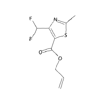 C=CCOC(=O)c1sc(C)nc1C(F)F